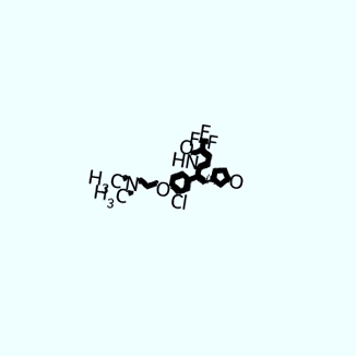 CCN(CC)CCCOc1ccc(C(=C[C@H]2CCC(=O)C2)c2ccc(C(F)(F)F)c(=O)[nH]2)cc1Cl